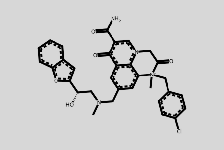 CN(Cc1cc2c3c(c1)c(=O)c(C(N)=O)cn3CC(=O)[N+]2(C)Cc1ccc(Cl)cc1)C[C@H](O)c1cc2ccccc2o1